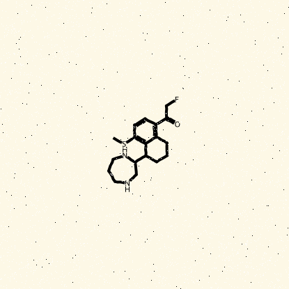 CSc1ccc(C(=O)CF)c2c1C(C1CNCCCN1)CCC2